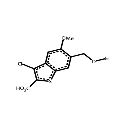 CCOCc1cc2sc(C(=O)O)c(Cl)c2cc1OC